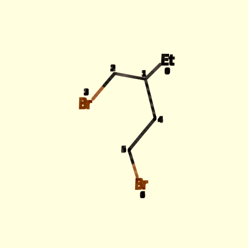 CCC(CBr)CCBr